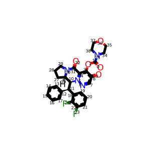 O=C(Oc1c2n(ncc1=O)[C@@H]([C@H](c1ccccc1)c1cccc(F)c1F)[C@H]1CCCN1C2=O)N1CCOCC1